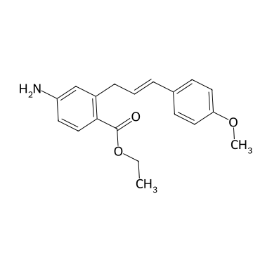 CCOC(=O)c1ccc(N)cc1CC=Cc1ccc(OC)cc1